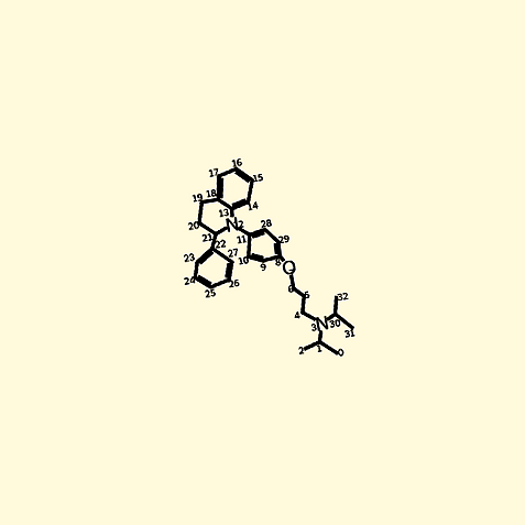 CC(C)N(CCCOc1ccc(N2c3ccccc3CCC2c2ccccc2)cc1)C(C)C